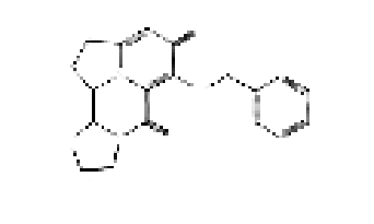 C[C@H]1CN2C(=O)c3c(OCc4ccccc4)c(=O)cc4n3C(CC4)C2O1